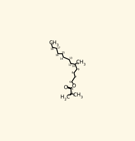 C=C(C)C(=O)OCCCCC(C)CCCCCCCC